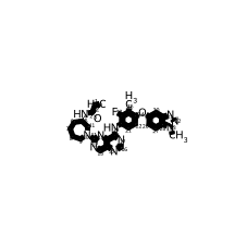 C=CC(=O)N[C@H]1CCCCN(c2ncc3ncnc(Nc4ccc(Oc5ccc6c(c5)nnn6C)c(C)c4F)c3n2)C1